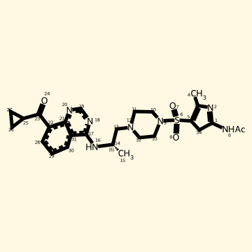 CC(=O)NC1=NC(C)=C(S(=O)(=O)N2CCN(C[C@H](C)Nc3ncnc4c(C(=O)C5CC5)cccc34)CC2)C1